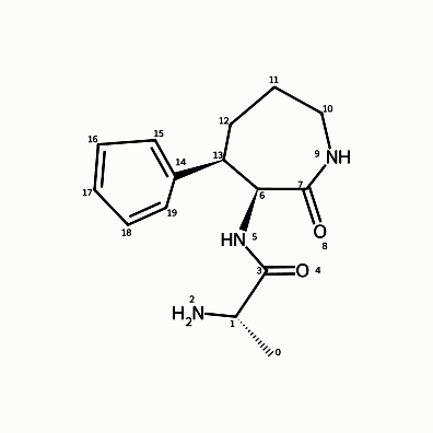 C[C@H](N)C(=O)N[C@@H]1C(=O)NCCC[C@@H]1c1ccccc1